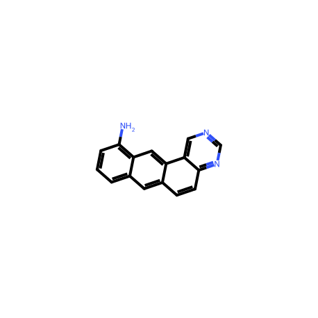 Nc1cccc2cc3ccc4ncncc4c3cc12